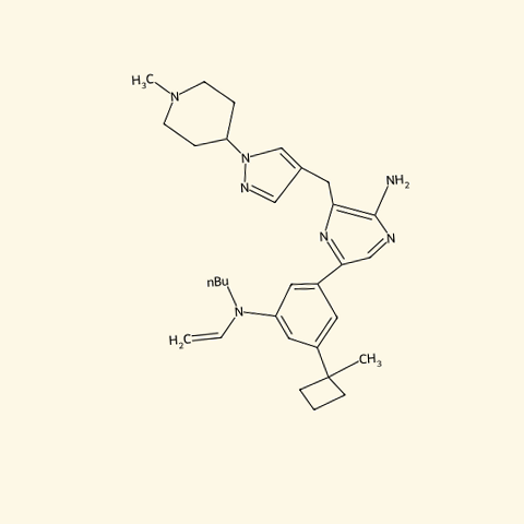 C=CN(CCCC)c1cc(-c2cnc(N)c(Cc3cnn(C4CCN(C)CC4)c3)n2)cc(C2(C)CCC2)c1